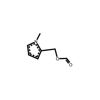 Cn1cccc1COC=O